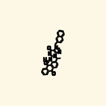 CC(c1ccc2c(c1)C(=O)c1ccccc1C2=O)n1c(N)nc(=O)c2c1ncn2Cc1ccc2ccccc2c1